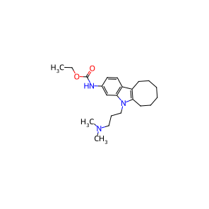 CCOC(=O)Nc1ccc2c3c(n(CCCN(C)C)c2c1)CCCCCC3